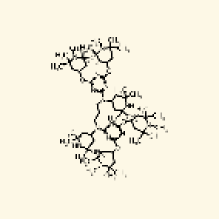 CN1C(C)(C)CC(Oc2nc(OC3CC(C)(C)N(C)C(C)(C)C3)nc(N(CCCN(c3nc(OC4CC(C)(C)N(C)C(C)(C)C4)nc(OC4CC(C)(C)N(C)C(C)(C)C4)n3)C3CC(C)(C)NC(C)(C)C3)C3CC(C)(C)NC(C)(C)C3)n2)CC1(C)C